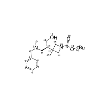 CN(Cc1ccccc1)C[C@@H](CO)C1(C)CN(C(=O)OC(C)(C)C)C1